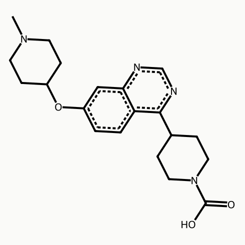 CN1CCC(Oc2ccc3c(C4CCN(C(=O)O)CC4)ncnc3c2)CC1